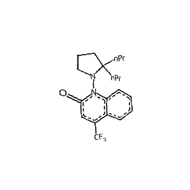 CCCC1(CCC)CCCN1n1c(=O)cc(C(F)(F)F)c2ccccc21